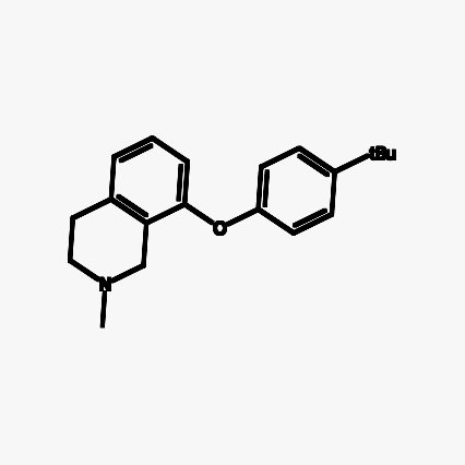 CN1CCc2cccc(Oc3ccc(C(C)(C)C)cc3)c2C1